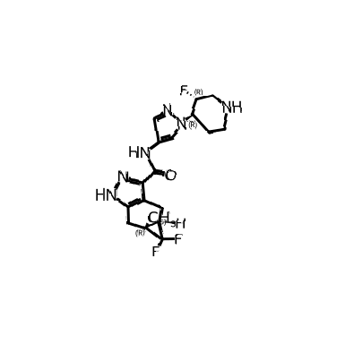 C[C@@]12Cc3[nH]nc(C(=O)Nc4cnn([C@@H]5CCNC[C@H]5F)c4)c3C[C@@H]1C2(F)F